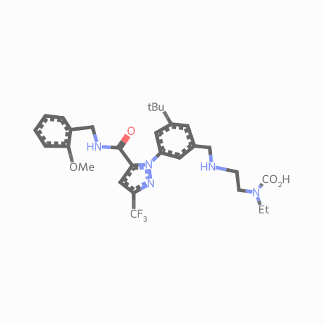 CCN(CCNCc1cc(-n2nc(C(F)(F)F)cc2C(=O)NCc2ccccc2OC)cc(C(C)(C)C)c1)C(=O)O